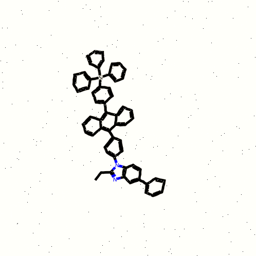 CCc1nc2cc(-c3ccccc3)ccc2n1-c1ccc(-c2c3ccccc3c(-c3ccc([Si](c4ccccc4)(c4ccccc4)c4ccccc4)cc3)c3ccccc23)cc1